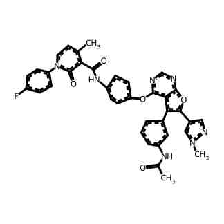 CC(=O)Nc1cccc(-c2c(-c3cnn(C)c3)oc3ncnc(Oc4ccc(NC(=O)c5c(C)ccn(-c6ccc(F)cc6)c5=O)cc4)c23)c1